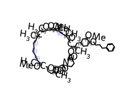 CO[C@H]1CC2CC[C@@H](C)[C@@](O)(O2)C(=O)C(=O)N2CCCC[C@H]2C(=O)OC([C@H](C)C[C@@H]2CC[C@@H](OCCCc3ccccc3)[C@H](OC)C2)CC(=O)[C@H](C)/C=C(\C)[C@@H](O)[C@@H](OC)C(=O)[C@H](C)C[C@H](C)/C=C/C=C/C=C/1C